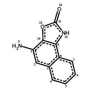 Nc1cc2ccccc2c2[nH]c(=O)oc12